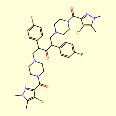 Cc1c(Cl)c(C(=O)N2CCN(CC(C(=O)C(CN3CCN(C(=O)c4nn(C)c(C)c4Cl)CC3)c3ccc(F)cc3)c3ccc(F)cc3)CC2)nn1C